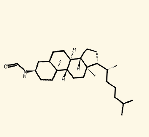 CC(C)CCC[C@@H](C)[C@H]1CC[C@H]2[C@@H]3CCC4C[C@H](NC=O)CC[C@]4(C)[C@H]3CC[C@]12C